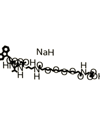 CC(C)[C@H](NC(=O)OCC1c2ccccc2-c2ccccc21)C(=O)N[C@@H](CCCCNC(=O)CCOCCOCCOCCOCCC(=O)NCCS(=O)(=O)O)C(=O)O.[NaH]